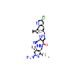 C#Cc1ncc(Cl)cc1/C=C(\C)Cn1cc(C(=O)NCc2c(C)cc(N)nc2C)c(C#N)n1